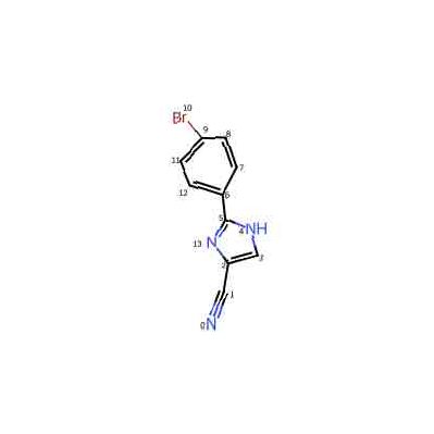 N#Cc1c[nH]c(-c2ccc(Br)cc2)n1